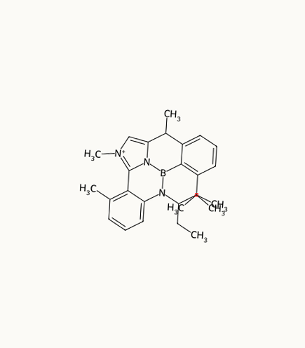 CCC(CC)N1B2c3c(C(C)C)cccc3C(C)c3c[n+](C)c(n32)-c2c(C)cccc21